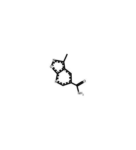 Cc1noc2ncc(C(N)=O)cc12